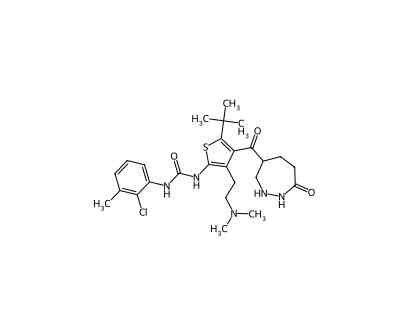 Cc1cccc(NC(=O)Nc2sc(C(C)(C)C)c(C(=O)C3CCC(=O)NNC3)c2CCN(C)C)c1Cl